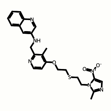 Cc1c(OCCSCCn2c([N+](=O)[O-])cnc2C)ccnc1CNc1cnc2ccccc2c1